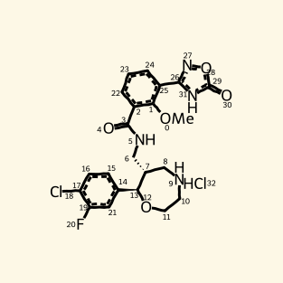 COc1c(C(=O)NC[C@@H]2CNCCO[C@H]2c2ccc(Cl)c(F)c2)cccc1-c1noc(=O)[nH]1.Cl